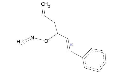 C=CCC(/C=C/c1ccccc1)ON=C